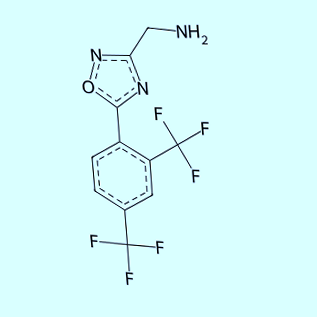 NCc1noc(-c2ccc(C(F)(F)F)cc2C(F)(F)F)n1